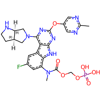 Cc1ncc(Oc2nc(N3C[C@H]4CCN[C@H]4C3)c3c(n2)[nH]c2c(N(C)C(=O)OCOP(=O)(O)O)cc(F)cc23)cn1